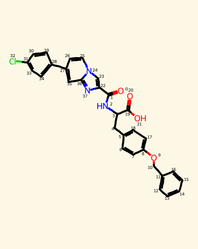 O=C(NC(Cc1ccc(OCc2ccccc2)cc1)C(=O)O)c1cn2ccc(-c3ccc(Cl)cc3)cc2n1